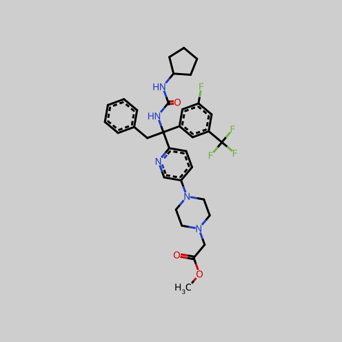 COC(=O)CN1CCN(c2ccc(C(Cc3ccccc3)(NC(=O)NC3CCCC3)c3cc(F)cc(C(F)(F)F)c3)nc2)CC1